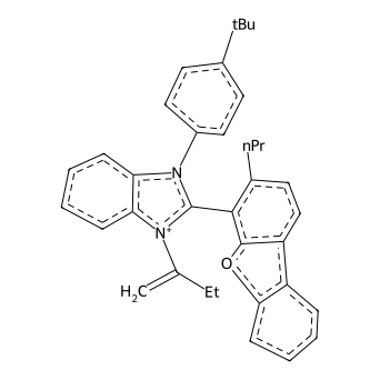 C=C(CC)[n+]1c(-c2c(CCC)ccc3c2oc2ccccc23)n(-c2ccc(C(C)(C)C)cc2)c2ccccc21